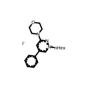 CCCCCC[n+]1cc(-c2ccccc2)cc(N2CCOCC2)n1.[I-]